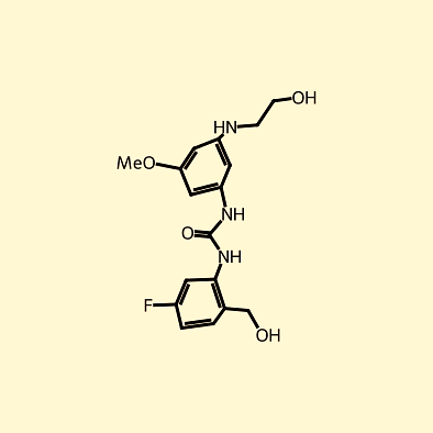 COc1cc(NCCO)cc(NC(=O)Nc2cc(F)ccc2CO)c1